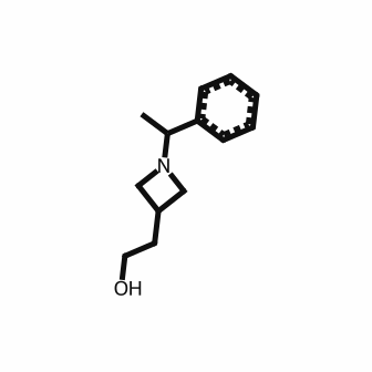 CC(c1ccccc1)N1CC(CCO)C1